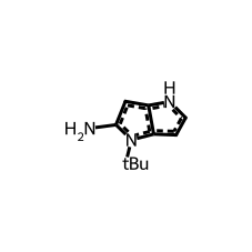 CC(C)(C)n1c(N)cc2[nH]ccc21